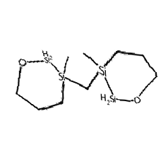 C[Si]1(C[Si]2(C)CCCO[SiH2]2)CCCO[SiH2]1